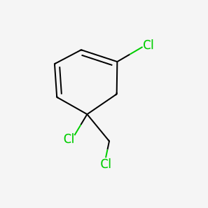 ClCC1(Cl)C=CC=C(Cl)C1